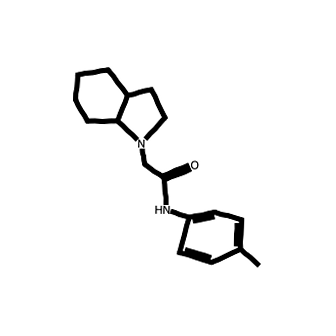 Cc1ccc(NC(=O)CN2CCC3CCCCC32)cc1